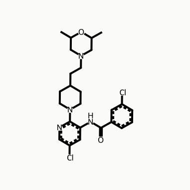 CC1CN(CCC2CCN(c3ncc(Cl)cc3NC(=O)c3cccc(Cl)c3)CC2)CC(C)O1